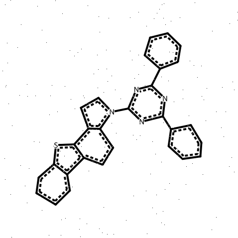 c1ccc(-c2nc(-c3ccccc3)nc(-n3ccc4c5sc6ccccc6c5ccc43)n2)cc1